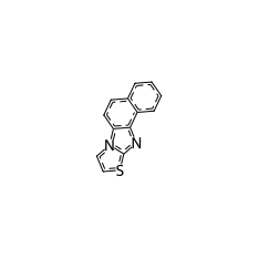 c1ccc2c(c1)ccc1c2nc2sccn21